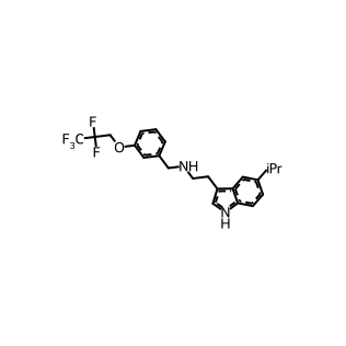 CC(C)c1ccc2[nH]cc(CCNCc3cccc(OCC(F)(F)C(F)(F)F)c3)c2c1